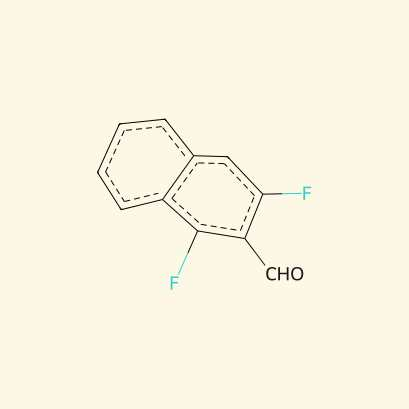 O=Cc1c(F)cc2ccccc2c1F